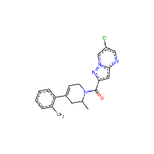 CC1CC(c2ccccc2C(F)(F)F)=CCN1C(=O)c1cc2ncc(Cl)cn2n1